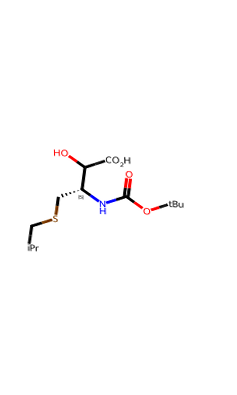 CC(C)CSC[C@@H](NC(=O)OC(C)(C)C)C(O)C(=O)O